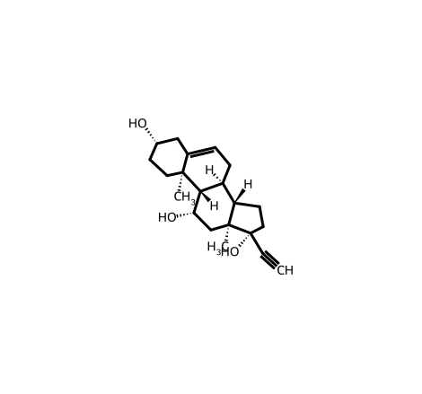 C#C[C@]1(O)CC[C@H]2[C@@H]3CC=C4C[C@@H](O)CC[C@]4(C)[C@H]3[C@@H](O)C[C@@]21C